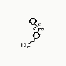 CCC(c1ccc(CCC(=O)O)cc1)S(=O)(=O)c1ccccc1